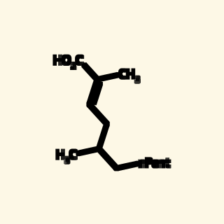 CCCCCCC(C)CC=C(C)C(=O)O